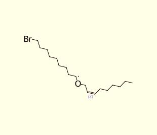 CCCCCC/C=C\CO[CH]CCCCCCCCBr